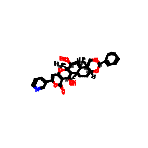 CC12CC[C@@H]3O[C@H](c4ccccc4)OC[C@]3(C)C1C[C@H](O)C1(C)Oc3cc(-c4cccnc4)oc(=O)c3[C@H](O)C21